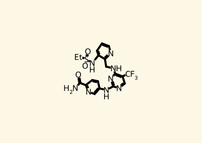 CCS(=O)(=O)Nc1cccnc1CNc1nc(Nc2ccc(C(N)=O)nc2)ncc1C(F)(F)F